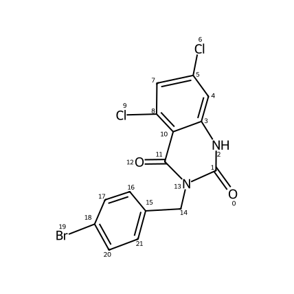 O=c1[nH]c2cc(Cl)cc(Cl)c2c(=O)n1Cc1ccc(Br)cc1